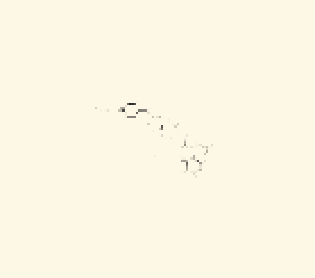 CCC(=O)NC(CCN1CCC2(CC1)CCN(Cc1ccc(OC)cc1)C2=O)c1ccccc1OC.Cl